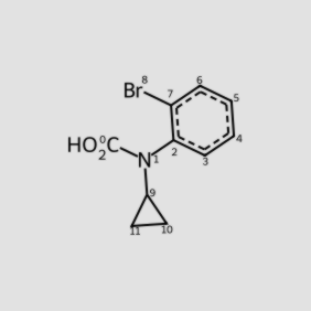 O=C(O)N(c1ccccc1Br)C1CC1